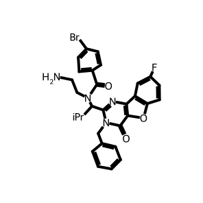 CC(C)C(c1nc2c(oc3ccc(F)cc32)c(=O)n1Cc1ccccc1)N(CCN)C(=O)c1ccc(Br)cc1